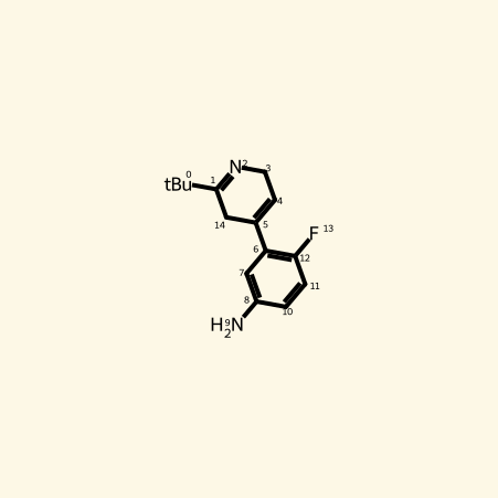 CC(C)(C)C1=NCC=C(c2cc(N)ccc2F)C1